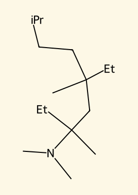 CCC(C)(CCC(C)C)CC(C)(CC)N(C)C